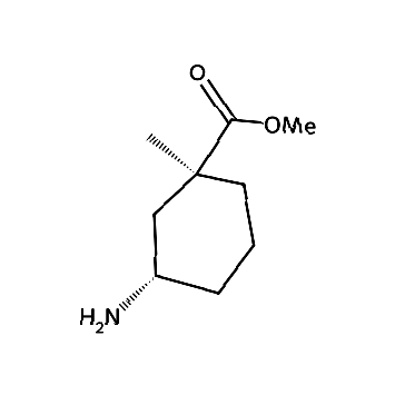 COC(=O)[C@@]1(C)CCC[C@H](N)C1